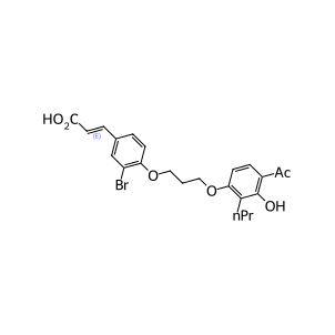 CCCc1c(OCCCOc2ccc(/C=C/C(=O)O)cc2Br)ccc(C(C)=O)c1O